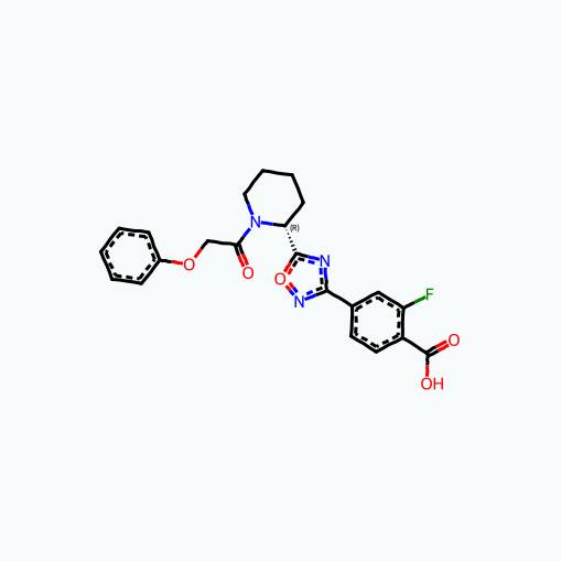 O=C(O)c1ccc(-c2noc([C@H]3CCCCN3C(=O)COc3ccccc3)n2)cc1F